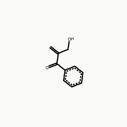 C=C(CO)C(=O)c1ccccc1